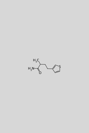 CC(CCc1ccsc1)C(N)=O